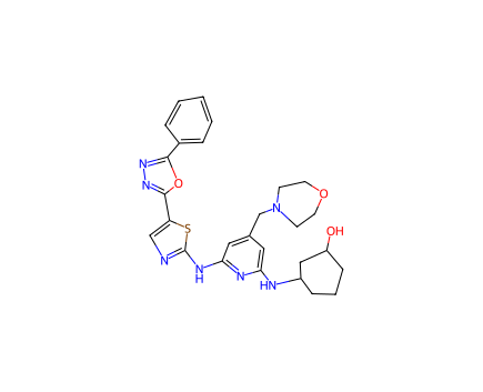 OC1CCCC(Nc2cc(CN3CCOCC3)cc(Nc3ncc(-c4nnc(-c5ccccc5)o4)s3)n2)C1